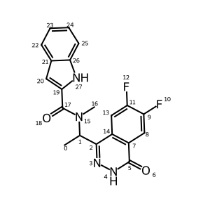 CC(c1n[nH]c(=O)c2cc(F)c(F)cc12)N(C)C(=O)c1cc2ccccc2[nH]1